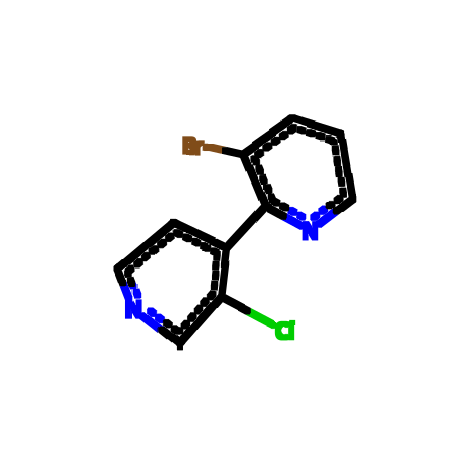 Clc1[c]nccc1-c1ncccc1Br